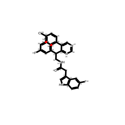 O=C(Cc1c[nH]c2ccc(F)cc12)NCC(c1cc(F)cc(F)c1)c1ncncc1-c1ccc(Cl)cc1